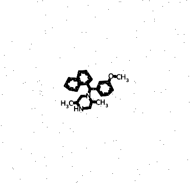 COc1cccc(C(c2cccc3ccccc23)N2CC(C)NCC2C)c1